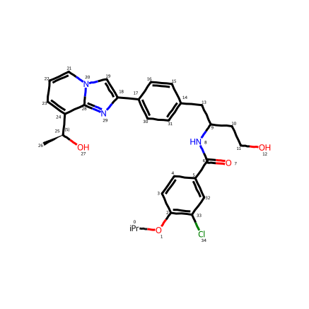 CC(C)Oc1ccc(C(=O)NC(CCO)Cc2ccc(-c3cn4cccc([C@H](C)O)c4n3)cc2)cc1Cl